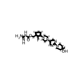 CC1(O)CCN(c2ncc(N3CCN(c4cccc(COC(=O)NC(=N)N)c4F)CC3)cn2)CC1